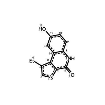 CCc1csc2c(=O)[nH]c3ccc(O)cc3c12